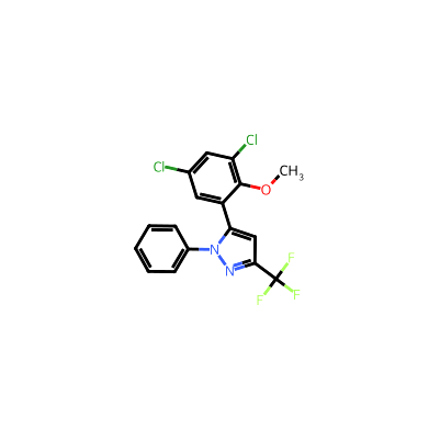 COc1c(Cl)cc(Cl)cc1-c1cc(C(F)(F)F)nn1-c1ccccc1